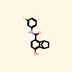 O=C(Nc1cccc(F)c1)c1ccc(O)c2c1C1CCC2C1